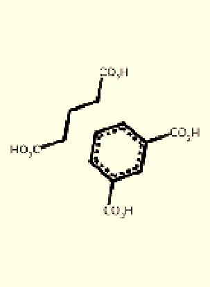 O=C(O)CCCC(=O)O.O=C(O)c1cccc(C(=O)O)c1